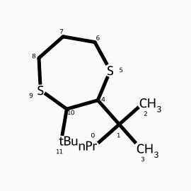 CCCC(C)(C)C1SCCCSC1C(C)(C)C